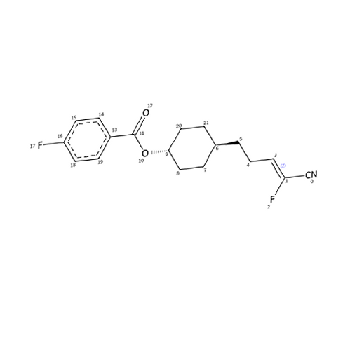 N#C/C(F)=C/CC[C@H]1CC[C@H](OC(=O)c2ccc(F)cc2)CC1